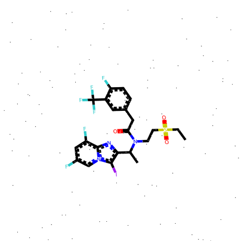 CCS(=O)(=O)CCN(C(=O)Cc1ccc(F)c(C(F)(F)F)c1)C(C)c1nc2c(F)cc(F)cn2c1I